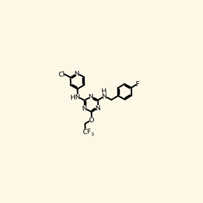 Fc1ccc(CNc2nc(Nc3ccnc(Cl)c3)nc(OCC(F)(F)F)n2)cc1